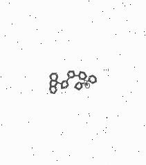 O=P(c1ccccc1)(c1ccccc1)c1cccc(-c2cccc(-c3cccc(-c4c5ccccc5cc5ccccc45)c3)c2)c1